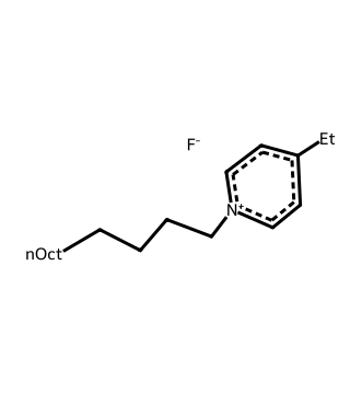 CCCCCCCCCCCC[n+]1ccc(CC)cc1.[F-]